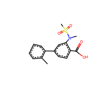 Cc1ccccc1-c1ccc(C(=O)O)c(N(C)S(C)(=O)=O)c1